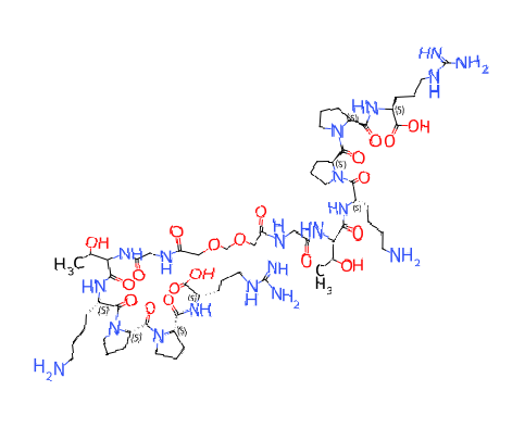 CC(O)C(NC(=O)CNC(=O)COCOCC(=O)NCC(=O)NC(C(=O)N[C@@H](CCCCN)C(=O)N1CCC[C@H]1C(=O)N1CCC[C@H]1C(=O)N[C@@H](CCCNC(=N)N)C(=O)O)C(C)O)C(=O)N[C@@H](CCCCN)C(=O)N1CCC[C@H]1C(=O)N1CCC[C@H]1C(=O)N[C@@H](CCCNC(=N)N)C(=O)O